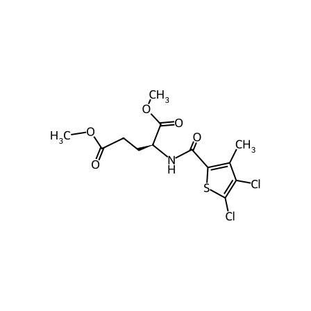 COC(=O)CC[C@H](NC(=O)c1sc(Cl)c(Cl)c1C)C(=O)OC